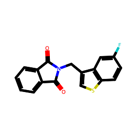 O=C1c2ccccc2C(=O)N1Cc1csc2ccc(F)cc12